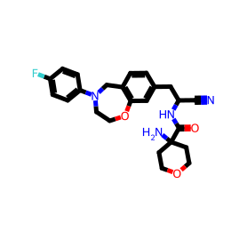 N#CC(Cc1ccc2c(c1)OCCN(c1ccc(F)cc1)C2)NC(=O)C1(N)CCOCC1